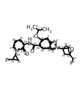 CC(C)Oc1cc2nn(C34COC(CF)(C3)C4)cc2cc1C(=O)Nc1cccn(C2CC2F)c1=O